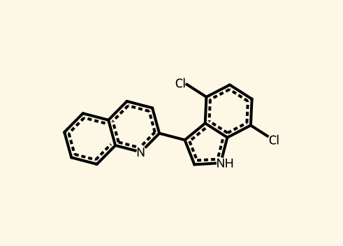 Clc1ccc(Cl)c2c(-c3ccc4ccccc4n3)c[nH]c12